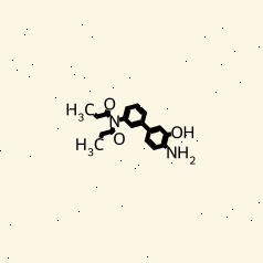 CCC(=O)N(C(=O)CC)c1cccc(-c2ccc(N)c(O)c2)c1